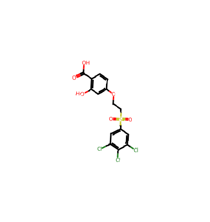 O=C(O)c1ccc(OCCS(=O)(=O)c2cc(Cl)c(Cl)c(Cl)c2)cc1O